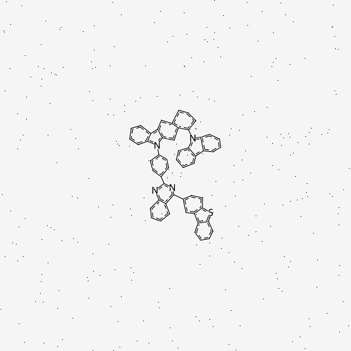 c1cc(-n2c3ccccc3c3ccccc32)c2cc3c(cc2c1)c1ccccc1n3-c1ccc(-c2nc(-c3ccc4sc5ccccc5c4c3)c3ccccc3n2)cc1